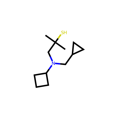 CC(C)(S)CN(CC1CC1)C1CCC1